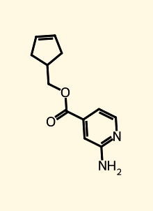 Nc1cc(C(=O)OCC2CC=CC2)ccn1